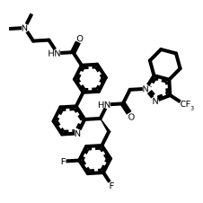 CN(C)CCNC(=O)c1cccc(-c2cccnc2[C@H](Cc2cc(F)cc(F)c2)NC(=O)Cn2nc(C(F)(F)F)c3c2CCCC3)c1